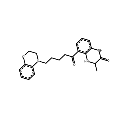 CC1Nc2c(cccc2C(=O)CCCCN2CCOc3ccccc32)NC1=O